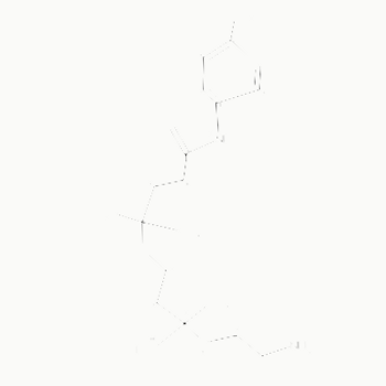 Cc1ccc(NC(=O)CCC(C)(C)OCCC(C)(C)OCCN)cc1